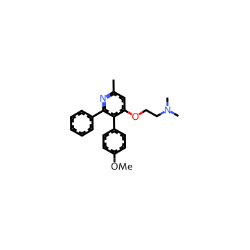 COc1ccc(-c2c(OCCN(C)C)cc(C)nc2-c2ccccc2)cc1